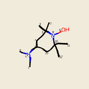 CN(C)C1CC(C)(C)N(O)C(C)(C)C1